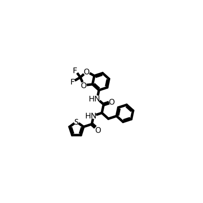 O=C(NC(Cc1ccccc1)C(=O)Nc1cccc2c1OC(F)(F)O2)c1cccs1